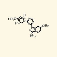 CC(C)COc1ccc2c(N)nn(-c3ccnc(N4C[C@@H]5C[C@H]4CN5C(=O)O)c3)c2c1